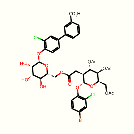 CC(=O)OC[C@H]1O[C@H](Oc2ccc(Br)cc2Cl)[C@@H](CC(=O)OC[C@H]2O[C@H](Oc3ccc(-c4cccc(C(=O)O)c4)cc3Cl)[C@@H](O)[C@@H](O)[C@@H]2O)[C@H](OC(C)=O)[C@H]1OC(C)=O